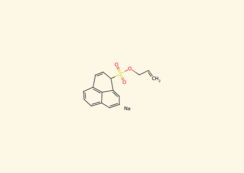 C=CCOS(=O)(=O)C1C=Cc2cccc3cccc1c23.[Na]